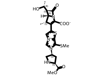 COC(=O)[C@@H]1C[C@H](n2c[n+]3cc(C4=C(C(=O)[O-])N5C(=O)[C@H]([C@@H](C)O)[C@H]5[C@H]4C)sc3c2SC)CN1